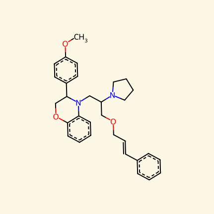 COc1ccc(C2COc3ccccc3N2CC(COCC=Cc2ccccc2)N2CCCC2)cc1